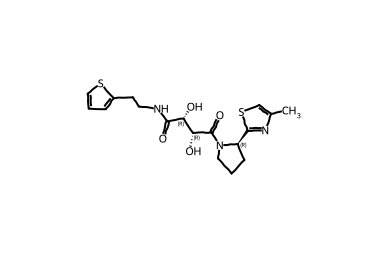 Cc1csc([C@H]2CCCN2C(=O)[C@H](O)[C@@H](O)C(=O)NCCc2cccs2)n1